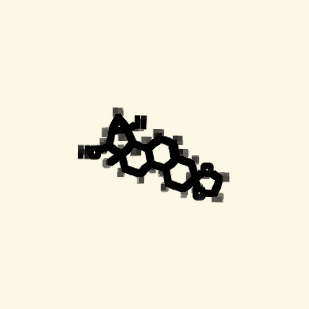 CC12CCC3C4CCC5(CC4=CCC3C1[C@H]1CC1C2O)OCCO5